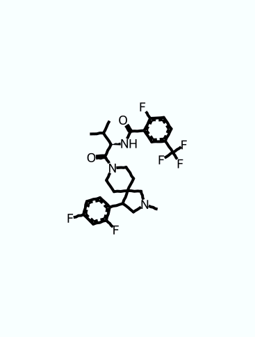 CC(C)[C@@H](NC(=O)c1cc(C(F)(F)F)ccc1F)C(=O)N1CCC2(CC1)CN(C)CC2c1ccc(F)cc1F